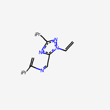 C=Cn1nc(C(C)C)nc1/C=N\C(=C)C(C)C